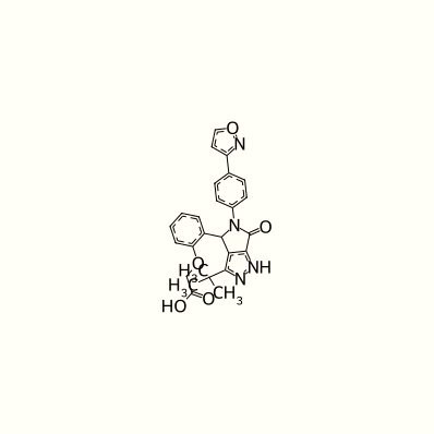 CC(C)(C)c1n[nH]c2c1C(c1ccccc1OCC(=O)O)N(c1ccc(-c3ccon3)cc1)C2=O